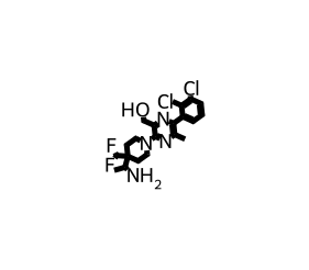 Cc1nc(N2CCC(C(C)N)(C(F)F)CC2)c(CO)nc1-c1cccc(Cl)c1Cl